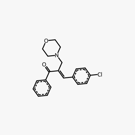 O=C(/C(=C/c1ccc(Cl)cc1)CN1CCOCC1)c1ccccc1